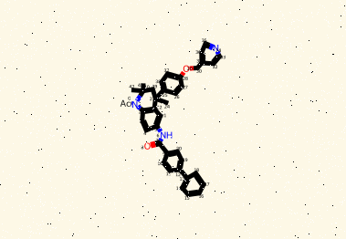 CC(=O)N1c2ccc(NC(=O)c3ccc(-c4ccccc4)cc3)cc2C(C)(c2ccc(OCc3ccncc3)cc2)CC1(C)C